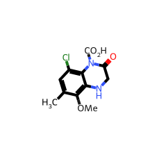 COc1c(C)cc(Cl)c2c1NCC(=O)N2C(=O)O